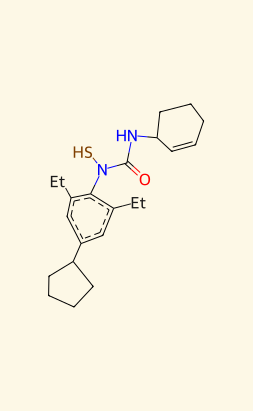 CCc1cc(C2CCCC2)cc(CC)c1N(S)C(=O)NC1C=CCCC1